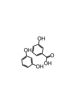 O=C(O)c1cccc(O)c1.Oc1cccc(O)c1